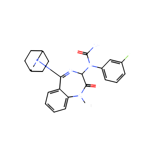 CN1C(=O)C(N(C(N)=O)c2cccc(F)c2)N=C(N2CC3CCC(CC3)C2)c2ccccc21